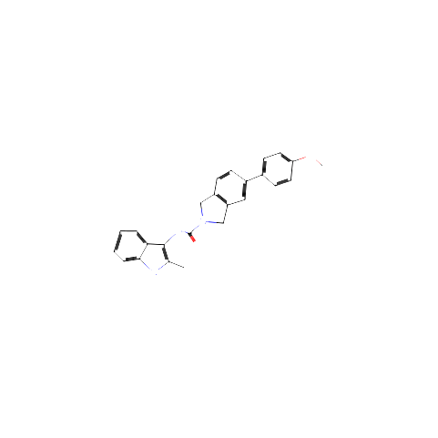 COc1ccc(-c2ccc3c(c2)CN(C(=O)Nc2c(C)[nH]c4ccccc24)C3)cc1